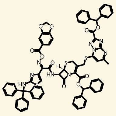 Cc1cc(SCC2=C(C(=O)OC(c3ccccc3)c3ccccc3)N3C(=O)[C@@H](NC(=O)/C(=N\OC(=O)c4ccc5c(c4)OCO5)c4csc(NC(c5ccccc5)(c5ccccc5)c5ccccc5)n4)[C@H]3SC2)n2nc(C(=O)OC(c3ccccc3)c3ccccc3)nc2n1